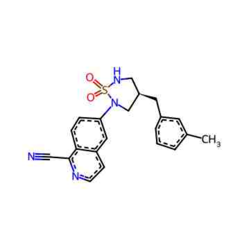 Cc1cccc(C[C@@H]2CNS(=O)(=O)N(c3ccc4c(C#N)nccc4c3)C2)c1